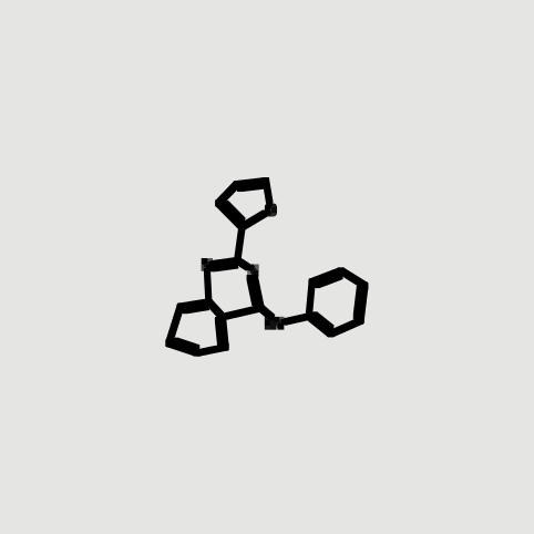 c1ccc(Nc2nc(-c3ccco3)nc3ccccc23)cc1